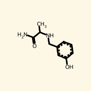 CC(NCc1cccc(O)c1)C(N)=O